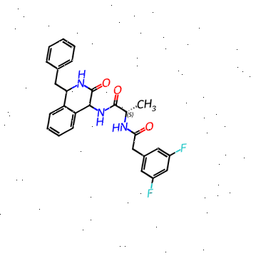 C[C@H](NC(=O)Cc1cc(F)cc(F)c1)C(=O)NC1C(=O)NC(Cc2ccccc2)c2ccccc21